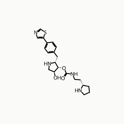 O=C(NCC[C@@H]1CCCN1)O[C@@H]1[C@@H](O)CN[C@@H]1Cc1ccc(-c2cncs2)cc1